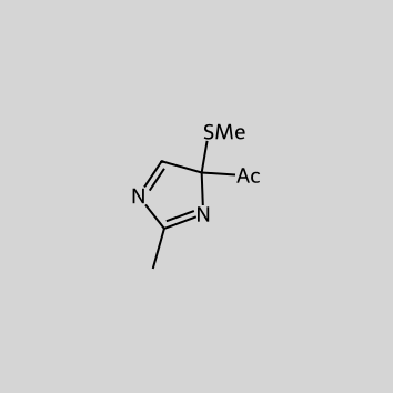 CSC1(C(C)=O)C=NC(C)=N1